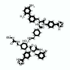 CC(C)(C)OC(=O)NC[C@H]1CC[C@H](C(=O)N(c2ccc(-c3nnn[nH]3)cc2)[C@@H](Cc2cccc(Br)c2)C(N)=O)CC1.Cc1ccc(N)cc1-c1cccc(C[C@H](NC(=O)[C@H]2CC[C@H](CNC(=O)O)CC2)C(=O)Nc2ccc(-c3nnn[nH]3)cc2)c1